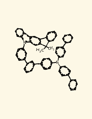 CC1(C)c2ccccc2-c2cc3c4ccccc4n(-c4cccc(-c5cccc(-c6ccc(N(c7ccc(-c8ccccc8)cc7)c7ccc(-c8ccccc8)cc7)cc6)c5)c4)c3cc21